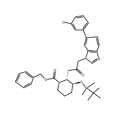 CC(C)(C)[Si](C)(C)O[C@H]1CCCN(C(=O)OCc2ccccc2)[C@@H]1CC(=O)Cn1cnc2ccc(-c3cccc(Cl)c3)cc21